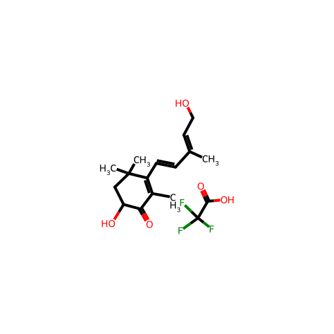 CC(C=CC1=C(C)C(=O)C(O)CC1(C)C)=CCO.O=C(O)C(F)(F)F